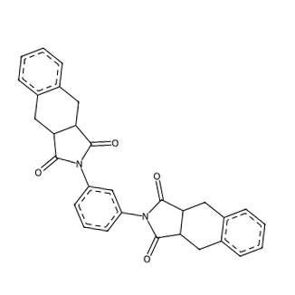 O=C1C2Cc3ccccc3CC2C(=O)N1c1cccc(N2C(=O)C3Cc4ccccc4CC3C2=O)c1